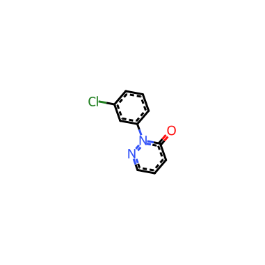 O=c1cccnn1-c1cccc(Cl)c1